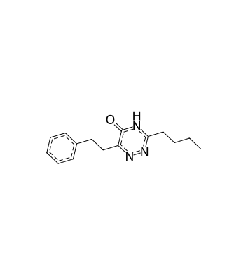 CCCCc1nnc(CCc2ccccc2)c(=O)[nH]1